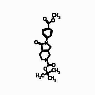 COC(=O)c1ccc(N2CC3=C(CCN(C(=O)OC(C)(C)C)C3)C2=O)cc1